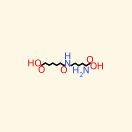 N[C@@H](CCCCNC(=O)CCCCCC(=O)O)C(=O)O